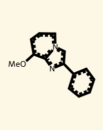 COc1cccn2cc(-c3ccccc3)nc12